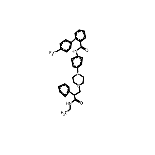 O=C(Nc1ccc(N2CCN(CC(C(=O)NCC(F)(F)F)c3ccccc3)CC2)cc1)c1ccccc1-c1ccc(C(F)(F)F)cc1